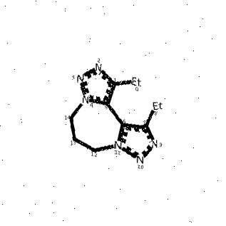 CCc1nnn2c1-c1c(CC)nnn1CCC2